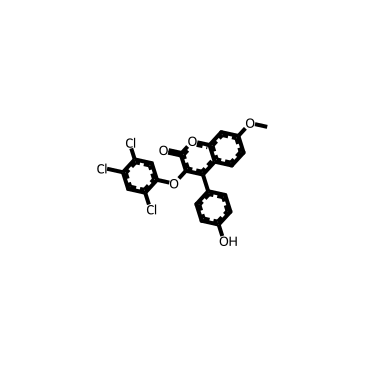 COc1ccc2c(-c3ccc(O)cc3)c(Oc3cc(Cl)c(Cl)cc3Cl)c(=O)oc2c1